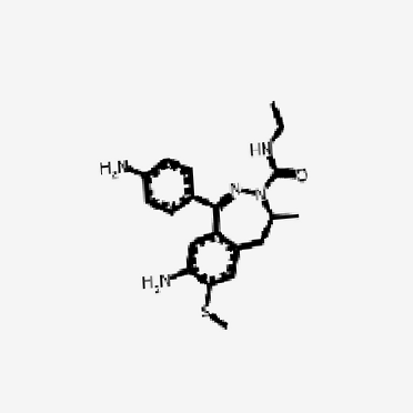 CCNC(=O)N1N=C(c2ccc(N)cc2)c2cc(N)c(SC)cc2CC1C